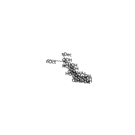 CCCCCCCC/C=C\CCCCCCCCCCCCCC(=O)N[C@@H](CO[C@@H]1OC(CO)[C@@H](O[C@@H]2OC(CO)[C@H](O)[C@H](O[C@@H]3OC(CO)[C@@H](O)[C@H](O[C@@H]4OC(CO)[C@H](O)[C@H](O[C@@H]5OC(CO)[C@@H](O)[C@H](O[C@@H]6OC(CO)[C@H](O)[C@H](O)C6O)C5NC(C)=O)C4O)C3NC(C)=O)C2O)[C@H](O)C1O)[C@H](O)/C=C/CCCCCCCCCCCCC